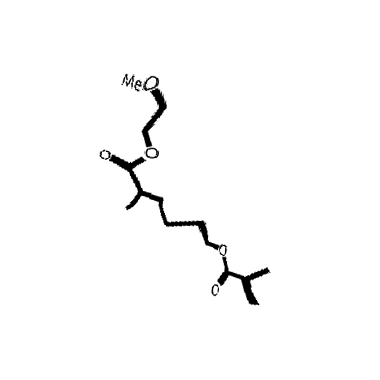 C=C(C)C(=O)OCCCCC(C)C(=O)OCCOC